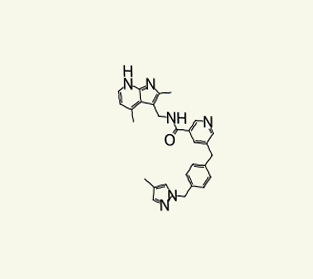 Cc1cnn(Cc2ccc(Cc3cncc(C(=O)NCc4c(C)nc5[nH]ccc(C)c4-5)c3)cc2)c1